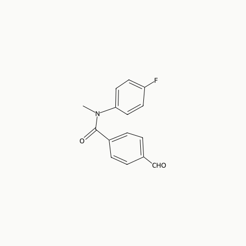 CN(C(=O)c1ccc(C=O)cc1)c1ccc(F)cc1